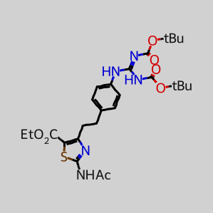 CCOC(=O)c1sc(NC(C)=O)nc1CCc1ccc(N/C(=N/C(=O)OC(C)(C)C)NC(=O)OC(C)(C)C)cc1